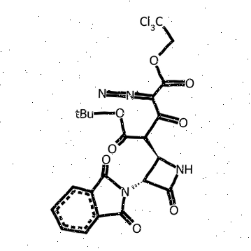 CC(C)(C)OC(=O)C(C(=O)C(=[N+]=[N-])C(=O)OCC(Cl)(Cl)Cl)[C@H]1NC(=O)[C@@H]1N1C(=O)c2ccccc2C1=O